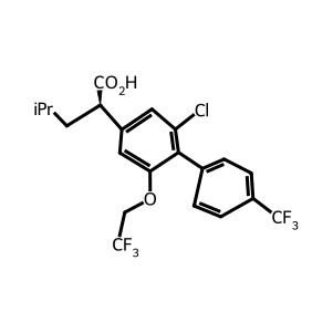 CC(C)C[C@@H](C(=O)O)c1cc(Cl)c(-c2ccc(C(F)(F)F)cc2)c(OCC(F)(F)F)c1